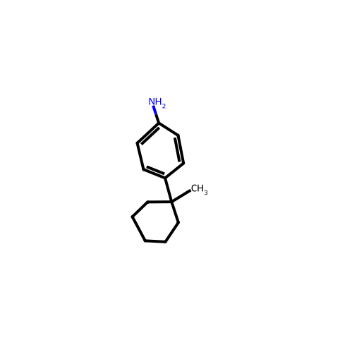 CC1(c2ccc(N)cc2)CCCCC1